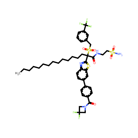 CCCCCCCCCCCCCCC(C(=O)NCCS(N)(=O)=O)(c1nc2ccc(-c3ccc(C(=O)N4CC(F)(F)C4)cc3)cc2s1)S(=O)(=O)Cc1cccc(C(F)(F)F)c1